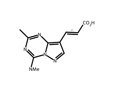 CNc1nc(C)nc2c(/C=C/C(=O)O)cnn12